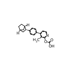 Cc1c(-c2ccc([C@H]3C[C@@H]4CC[C@H]3C4)cc2)ccnc1OC(=O)O